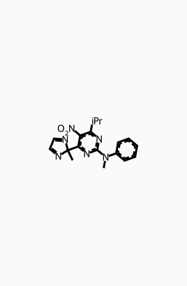 CC(C)c1nc(N(C)c2ccccc2)nc(C2(C)N=CC=N2)c1[N+](=O)[O-]